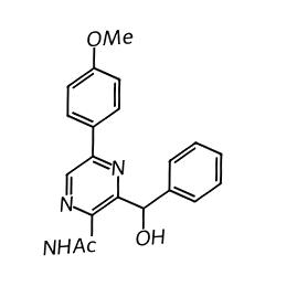 COc1ccc(-c2cnc(NC(C)=O)c(C(O)c3ccccc3)n2)cc1